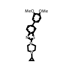 COc1ccc(-c2ccc3nc(N4CCN(C5CC5)CC4)sc3c2)cc1OC